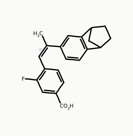 C/C(=C/c1ccc(C(=O)O)cc1F)c1ccc2c(c1)C1CCC2C1